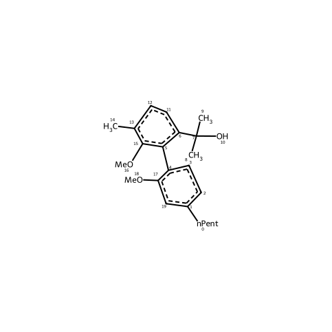 CCCCCc1ccc(-c2c(C(C)(C)O)ccc(C)c2OC)c(OC)c1